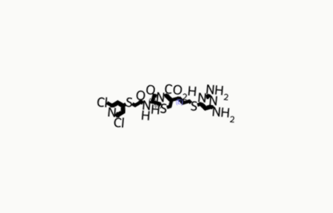 Nc1cc(SC/C=C/C2=C(C(=O)O)N3C(=O)[C@@H](NC(=O)CSc4cc(Cl)nc(Cl)c4)[C@H]3SC2)nc(N)n1